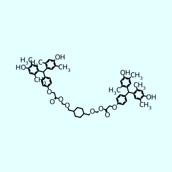 Cc1cc(C(c2ccc(OCC(=O)OCOCC3CCC(COCOC(=O)COc4ccc(C(c5cc(C)c(O)cc5C)c5cc(C)c(O)cc5C)cc4)CC3)cc2)c2cc(C)c(O)cc2C)c(C)cc1O